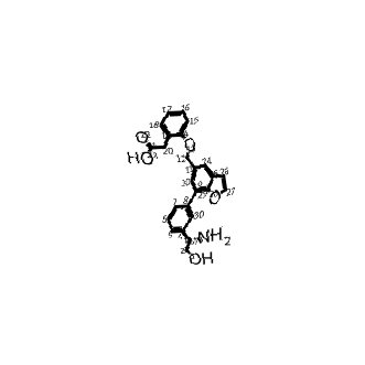 N[C@H](CO)c1cccc(-c2cc(COc3ccccc3CC(=O)O)cc3ccoc23)c1